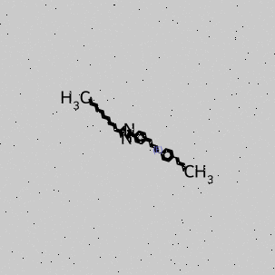 CCCCCCCCCCCc1cnc(-c2ccc(CC/C=C/[C@H]3CC[C@H](CCCCC)CC3)cc2)nc1